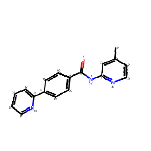 Cc1ccnc(NC(=O)c2ccc(-c3ccccn3)cc2)c1